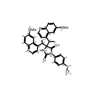 CNc1ccc2nccc(C(C)C3(C(C)c4ccnc5ccc(NC)cc45)NC(=O)N(c4ccc(SC(F)(F)F)cc4)C3=O)c2c1